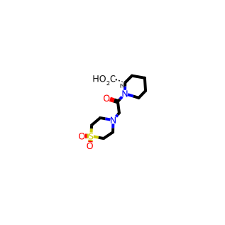 O=C(O)[C@@H]1CCCCN1C(=O)CN1CCS(=O)(=O)CC1